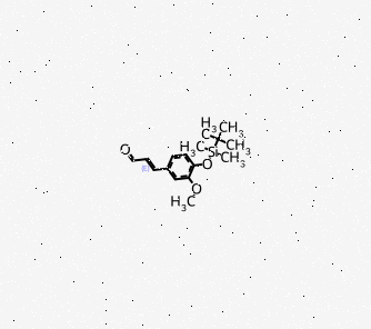 COc1cc(/C=C/C=O)ccc1O[Si](C)(C)C(C)(C)C